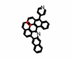 c1ccc2cc3c(cc2c1)nc(-c1c2ccccc2c(-c2ccncc2)c2ccccc12)c1c2ccccc2ccc31